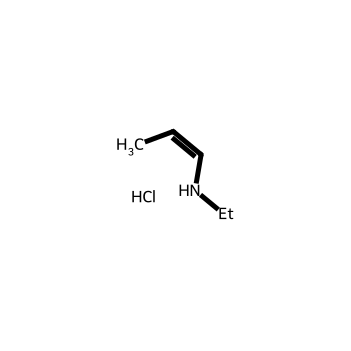 C/C=C\NCC.Cl